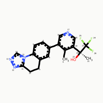 Cc1c(-c2ccc3c(c2)CCc2nncn2-3)cncc1[C@](C)(O)C(F)(F)F